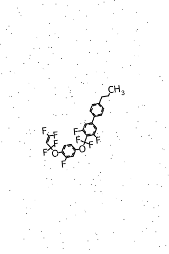 CCCc1ccc(-c2cc(F)c(C(F)(F)Oc3ccc(OC(F)(F)C=C(F)F)c(F)c3)c(F)c2)cc1